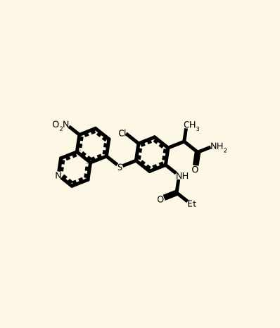 CCC(=O)Nc1cc(Sc2ccc([N+](=O)[O-])c3cnccc23)c(Cl)cc1C(C)C(N)=O